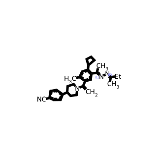 C=C(c1cc(/C(C)=N/N=C(\C)CC)c(C2CCC2)cc1C)N1CCC(c2ccc(C#N)cc2)CC1